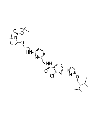 CC(C)C(COc1ccn(-c2ccc(C(=O)NSc3cccc(NCCOC4CCC(C)(C)N4C(=O)OC(C)(C)C)n3)c(Cl)n2)n1)C(C)C